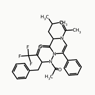 CC(=O)N1C=C(c2ccccc2)N(N(C(C)=O)C(Cc2ccccc2)C(=O)C(F)(F)F)C(=O)C1CC(C)C